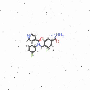 NNC(=O)c1ccc(CN(C(=O)c2ccncc2)c2cccc(F)c2)c(F)c1